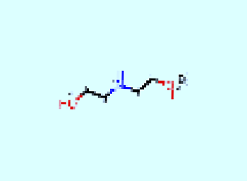 OCCNCCO.[B]